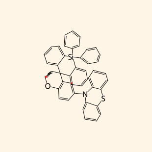 c1ccc([Si]2(c3ccccc3)c3ccccc3C3(c4ccccc4Oc4ccc(N5c6ccccc6Sc6ccccc65)cc43)c3ccccc32)cc1